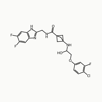 O=C(NCc1nc2cc(F)c(F)cc2[nH]1)C12CC(NC(O)COc3ccc(Cl)c(F)c3)(C1)C2